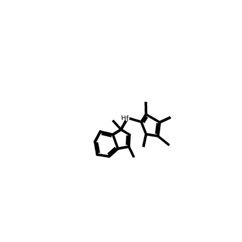 CC1=C[C](C)([Hf][C]2=C(C)C(C)=C(C)C2C)c2ccccc21